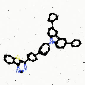 c1ccc(-c2ccc3c(c2)c2cc(-c4ccccc4)ccc2n3-c2ccc(-c3ccc(-c4ncnc5c4sc4ccccc45)cc3)cc2)cc1